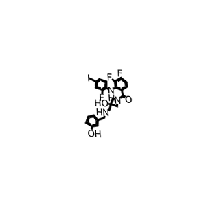 O=C(c1ccc(F)c(F)c1Nc1ccc(I)cc1F)N1CC(O)(CNCc2cccc(O)c2)C1